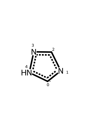 [c]1ncn[nH]1